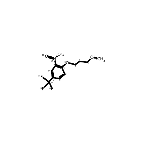 COCCCOc1ccc(C(F)(F)F)cc1[N+](=O)[O-]